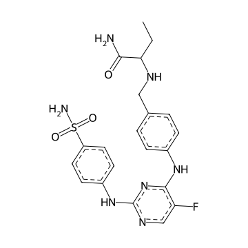 CCC(NCc1ccc(Nc2nc(Nc3ccc(S(N)(=O)=O)cc3)ncc2F)cc1)C(N)=O